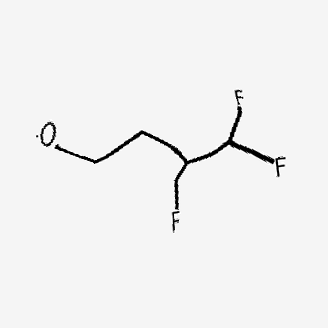 [O]CCC(F)C(F)F